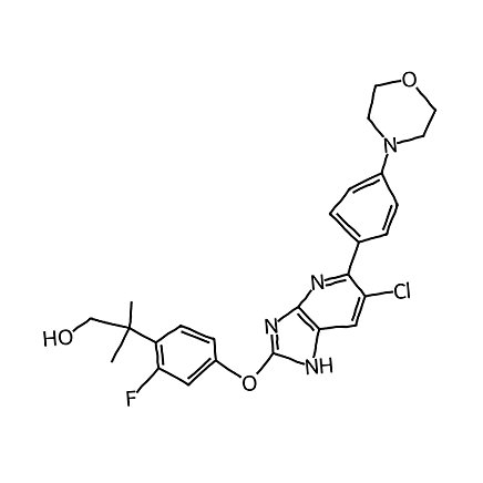 CC(C)(CO)c1ccc(Oc2nc3nc(-c4ccc(N5CCOCC5)cc4)c(Cl)cc3[nH]2)cc1F